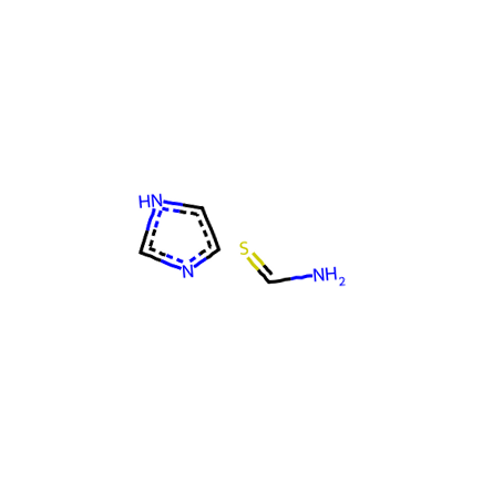 NC=S.c1c[nH]cn1